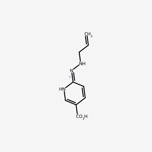 C=CCN/N=c1\ccc(C(=O)O)c[nH]1